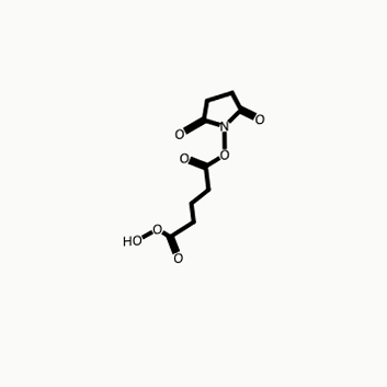 O=C(CCCC(=O)ON1C(=O)CCC1=O)OO